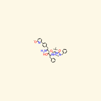 COc1cccc(-c2ccc(C[C@H](N)C[C@H](O)[C@H](Cc3ccccc3)NC(=O)[C@@H](N3CCN(Cc4ccccc4)C3=O)C(C)(C)C)cc2)n1